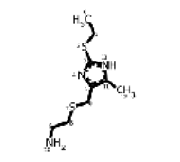 CCSc1nc(CSCCN)c(C)[nH]1